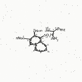 CCCC(C)C(N)N.CCCCCCCCCc1cc2ccccc2c(S(=O)(=O)O)c1CCCCCCCCC